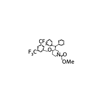 COCC(=O)N1CC[C@@H](OCc2cc(C(F)(F)F)cc(C(F)(F)F)c2)[C@@H](C(c2ccccc2)c2ccccc2)C1